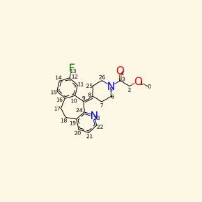 COCC(=O)N1CCC(=C2c3cc(F)ccc3CCc3cccnc32)CC1